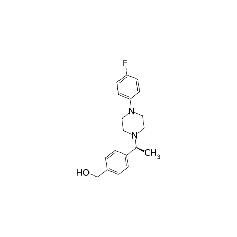 C[C@@H](c1ccc(CO)cc1)N1CCN(c2ccc(F)cc2)CC1